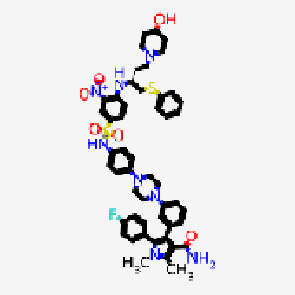 Cc1c(C(N)=O)c(-c2cccc(N3CCN(c4ccc(NS(=O)(=O)c5ccc(N[C@H](CCN6CCC(O)CC6)CSc6ccccc6)c([N+](=O)[O-])c5)cc4)CC3)c2)c(-c2ccc(F)cc2)n1C